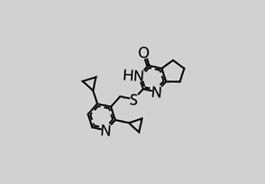 O=c1[nH]c(SCc2c(C3CC3)ccnc2C2CC2)nc2c1CCC2